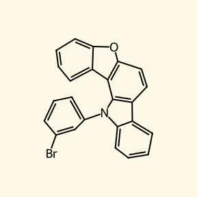 Brc1cccc(-n2c3ccccc3c3ccc4oc5ccccc5c4c32)c1